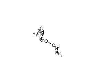 C[C@H](OC1CCCCO1)c1nccn1Cc1cc(-c2ccc(C#Cc3ccc(C(=O)N4CCN(C)CC4)cc3)cc2)on1